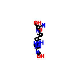 Cc1c(Nc2nccn3c(CN4CCC(O)C4)cnc23)cccc1-c1cccc(-c2nc3cc(CO)cc(C#N)c3o2)c1C